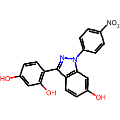 O=[N+]([O-])c1ccc(-n2nc(-c3ccc(O)cc3O)c3ccc(O)cc32)cc1